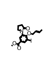 CC=CCOc1c(I)cc(C(=O)OC)cc1N1CCCC1=O